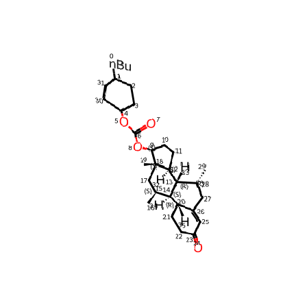 CCCCC1CCC(OC(=O)O[C@H]2CC[C@H]3[C@H]4[C@H]([C@@H](C)C[C@]23C)[C@H]2CCC(=O)C=C2C[C@H]4C)CC1